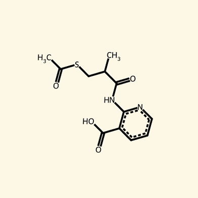 CC(=O)SCC(C)C(=O)Nc1ncccc1C(=O)O